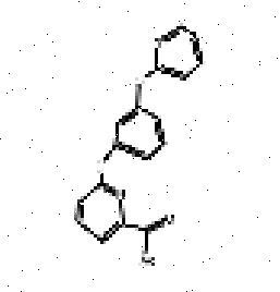 CC(=O)C(=O)c1cccc(Oc2cccc(Oc3ccccn3)c2)n1